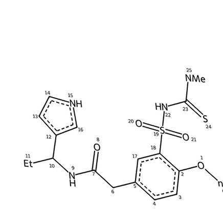 CCCOc1ccc(CC(=O)NC(CC)c2cc[nH]c2)cc1S(=O)(=O)NC(=S)NC